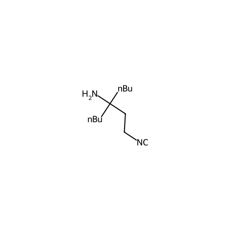 [C-]#[N+]CCC(N)(CCCC)CCCC